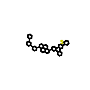 c1ccc(-c2cccc(-c3cccc(-c4ccc5ccc6c(-c7ccc8c(c7)c7ccccc7c7cc9c(cc87)sc7ccccc79)ccc7ccc4c5c76)c3)c2)cc1